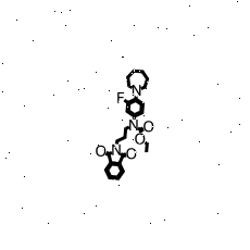 CCOC(=O)N(CCCN1C(=O)c2ccccc2C1=O)c1ccc(N2CCCCCC2)c(F)c1